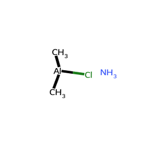 N.[CH3][Al]([CH3])[Cl]